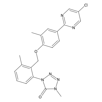 Cc1cc(-c2ncc(Cl)cn2)ccc1OCc1c(C)cccc1-n1nnn(C)c1=O